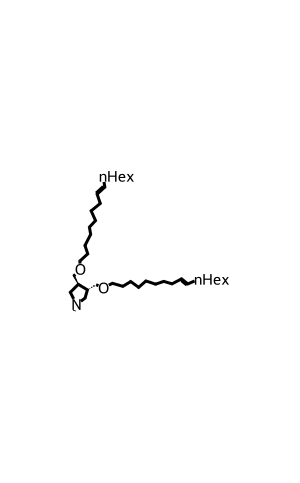 CCCCCCC=CCCCCCCCCOC[C@@H]1CN(C)C[C@H]1COCCCCCCCCC=CCCCCCC